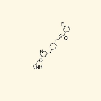 O=C(SCC[C@H]1CC[C@H](Cc2cncc(OC[C@@H]3CCN3)c2)CC1)c1cccc(F)c1